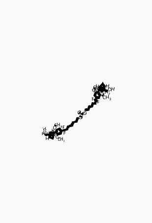 COc1cc(C(F)(F)CCCCCCO[N+](=O)OCCCCCCC(F)(F)c2cc(OC)c([C@H]3C=C(CO)[C@H]4C[C@H]3C4(C)C)c(OC)c2)cc(OC)c1[C@H]1C=C(CO)[C@H]2C[C@H]1C2(C)C